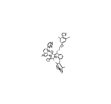 Cc1cc(OCCCc2c3n(c4c(-c5c(C)nn(C)c5C)cccc24)C(C)[C@@H](Cl)N(c2cn(C)c4ccc(-n5ccnn5)nc24)C3=O)cc(C)c1Cl